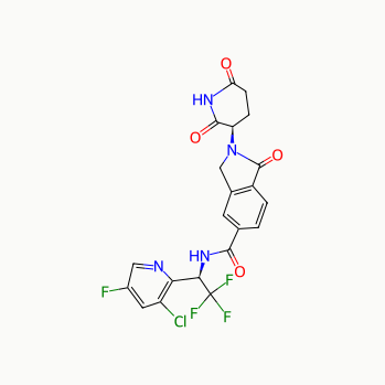 O=C1CC[C@@H](N2Cc3cc(C(=O)N[C@H](c4ncc(F)cc4Cl)C(F)(F)F)ccc3C2=O)C(=O)N1